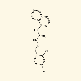 O=C(NOCc1ccc(Cl)cc1Cl)Nc1cccc2cnccc12